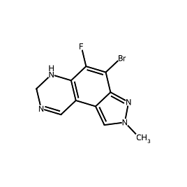 Cn1cc2c3c(c(F)c(Br)c2n1)NCN=C3